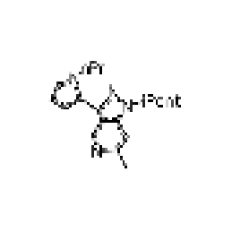 CCCC(C)n1nc(-c2cccn2CCC)c2cnc(C)cc21